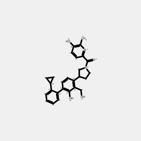 Cc1nc(C(=O)N2CCC(c3ccc(-c4ccccc4C4CC4)c(O)c3CO)C2)ccc1O